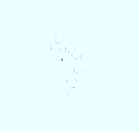 O=C(Nc1cc(Cl)ccc1Cl)NC1CC(=O)N(c2ccc(F)cc2)C1